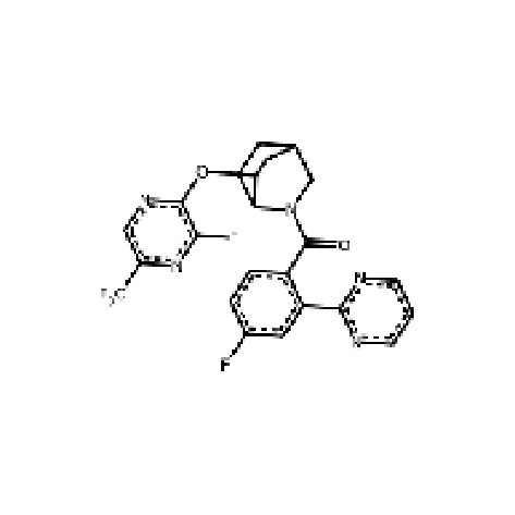 O=C(c1ccc(F)cc1-c1ncccn1)N1CC2CCC1C(Oc1ncc(C(F)(F)F)nc1F)C2